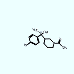 C[C@@](O)(c1ccc(Br)cc1)C1CCCN(C(=O)O)C1